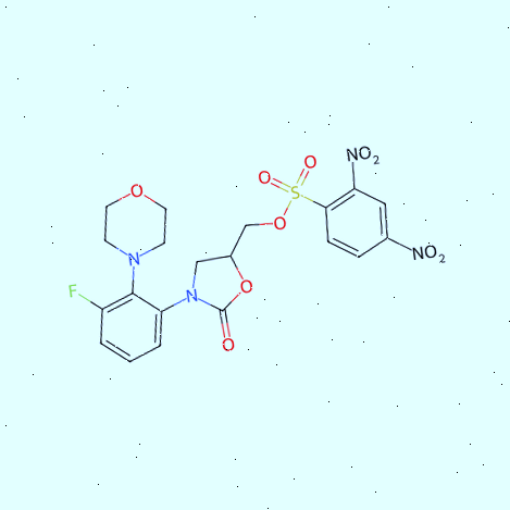 O=C1OC(COS(=O)(=O)c2ccc([N+](=O)[O-])cc2[N+](=O)[O-])CN1c1cccc(F)c1N1CCOCC1